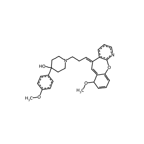 COc1ccc(C2(O)CCN(CCC=C3C=C4C(=CC=CC4OC)Oc4ncccc43)CC2)cc1